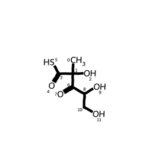 CC(O)(C(=O)S)C(=O)C(O)CO